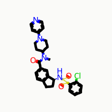 CN(C(=O)c1ccc2c(c1)[C@H](NS(=O)(=O)c1ccccc1Cl)CC2)C1CCN(c2ccncc2)CC1